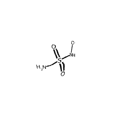 NS(=O)(=O)N[O]